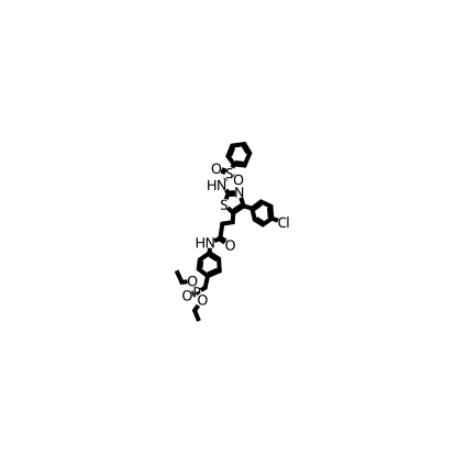 CCOP(=O)(Cc1ccc(NC(=O)CCc2sc(NS(=O)(=O)c3ccccc3)nc2-c2ccc(Cl)cc2)cc1)OCC